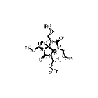 CCCC12N(COC(C)C)C(=O)N(COC(C)C)C1(C)N(COC(C)C)C(=O)N2COC(C)C